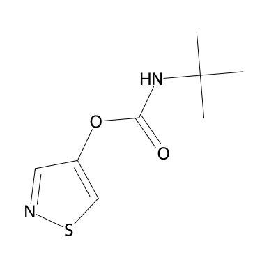 CC(C)(C)NC(=O)Oc1cnsc1